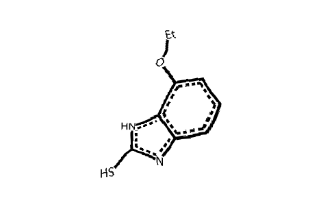 CCOc1cccc2nc(S)[nH]c12